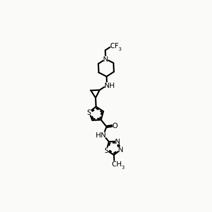 Cc1nnc(NC(=O)c2csc(C3CC3NC3CCN(CC(F)(F)F)CC3)c2)s1